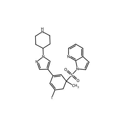 CC1(S(=O)(=O)n2ccc3cccnc32)C=C(c2cnn(C3CCNCC3)c2)C=C(I)C1